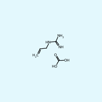 C=CCNC(=N)N.O=C(O)O